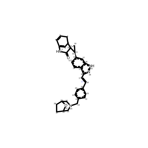 O=C1NC2=CC(CC=C2)[C@]12C[C@H]2c1ccc2c(/C=C/c3ccc(CN4CC5CCC(C4)O5)cc3)n[nH]c2c1